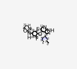 C=C/C=C(\C=C/C)c1c[nH]c2nccc(Oc3c(F)cc(NC4=NCCCO4)cc3F)c12